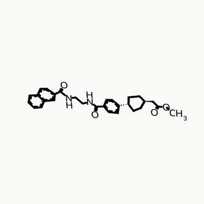 COC(=O)C[C@H]1CC[C@H](c2ccc(C(=O)NCCNC(=O)c3ccc4ccccc4c3)cc2)CC1